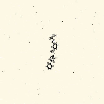 O=C(O)/C=C/c1cccc(NCC23CCC(c4ccccc4)(CC2)CC3)c1